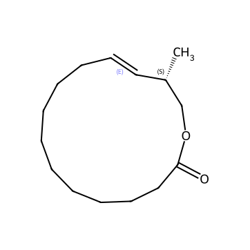 C[C@H]1/C=C/CCCCCCCCCC(=O)OC1